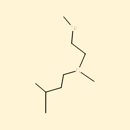 CNCCN(C)CCC(C)C